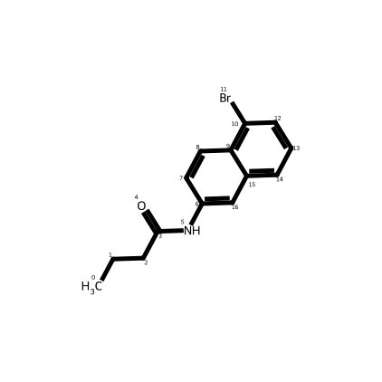 CCCC(=O)Nc1ccc2c(Br)cccc2c1